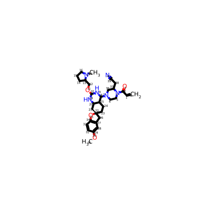 C=CC(=O)N1CCN(C2NC(OCC3CCCN3C)NC3C[C@@]4(CCC32)Cc2cc(OC)ccc2O4)CC1CC#N